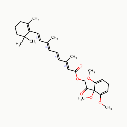 COC1=CCC=C(OC)C1(OC)C(=O)COC(=O)/C=C(C)/C=C/C=C(C)/C=C/C1=C(C)CCCC1(C)C